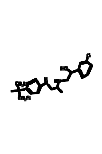 CCOC(=O)C(C)(C(=O)OCC)c1ccc(NCC(C)NCC(O)c2cccc(Cl)c2)cc1